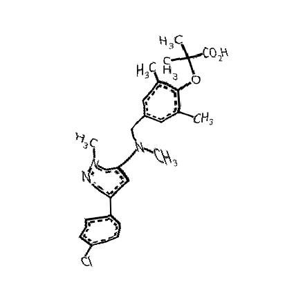 Cc1cc(CN(C)c2cc(-c3ccc(Cl)cc3)nn2C)cc(C)c1OC(C)(C)C(=O)O